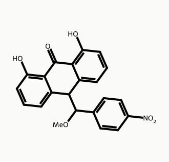 COC(c1ccc([N+](=O)[O-])cc1)C1c2cccc(O)c2C(=O)c2c(O)cccc21